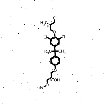 CC(C)OC[C@H](O)COc1ccc(C(C)(C)c2cc(Cl)c(OC[C@H](C)CCl)c(Cl)c2)cc1